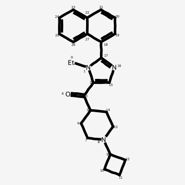 CCn1c(C(=O)C2CCN(C3CCC3)CC2)cnc1-c1cccc2ccccc12